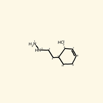 Cl.NNCCC1CC=CCC1